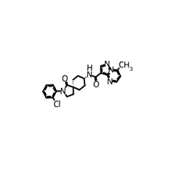 Cc1ccnc2c(C(=O)N[C@H]3CC[C@@]4(CCN(c5ccccc5Cl)C4=O)CC3)cnn12